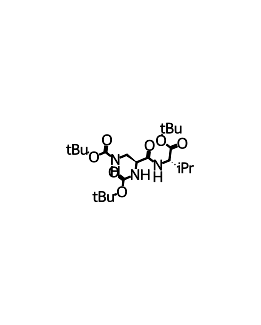 CC(C)[C@H](NC(=O)[C@H](CNC(=O)OC(C)(C)C)NC(=O)OC(C)(C)C)C(=O)OC(C)(C)C